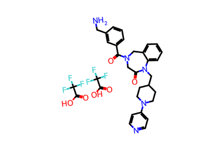 NCc1cccc(C(=O)N2CC(=O)N(CC3CCN(c4ccncc4)CC3)c3ccccc3C2)c1.O=C(O)C(F)(F)F.O=C(O)C(F)(F)F